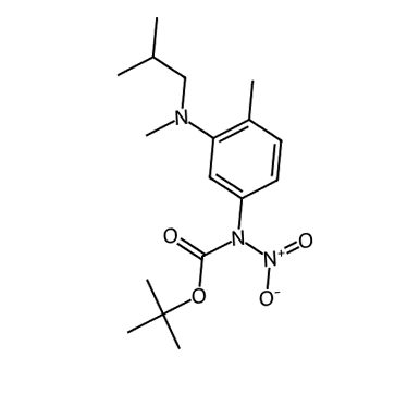 Cc1ccc(N(C(=O)OC(C)(C)C)[N+](=O)[O-])cc1N(C)CC(C)C